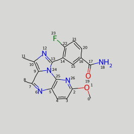 COc1ccc2nc(C)c3c(C)nc(-c4cc(C(N)=O)ccc4F)n3c2n1